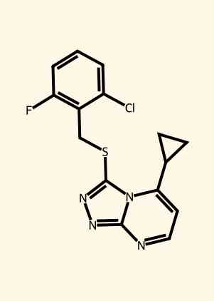 Fc1cccc(Cl)c1CSc1nnc2nccc(C3CC3)n12